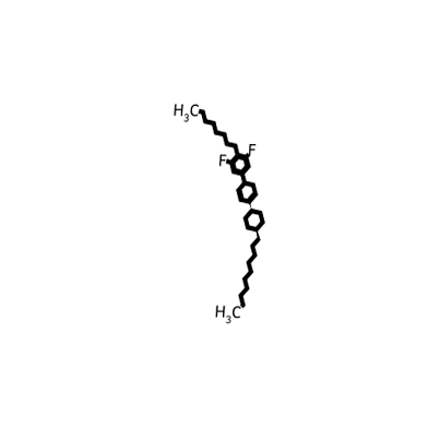 CCCCCCCCCC[C@H]1CC[C@H](C2=CCC(c3cc(F)c(CCCCCCCC)c(F)c3)C=C2)CC1